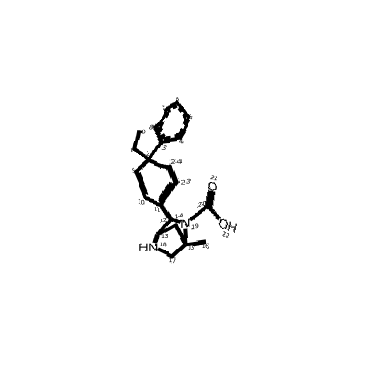 CCC1(c2ccccc2)C=CC(C2C3CC(C)(CN3)N2C(=O)O)=CC1